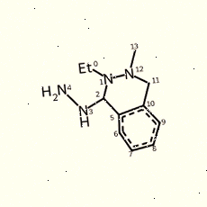 CCN1C(NN)c2ccccc2CN1C